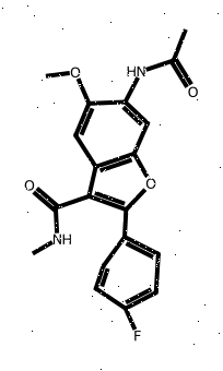 CNC(=O)c1c(-c2ccc(F)cc2)oc2cc(NC(C)=O)c(OC)cc12